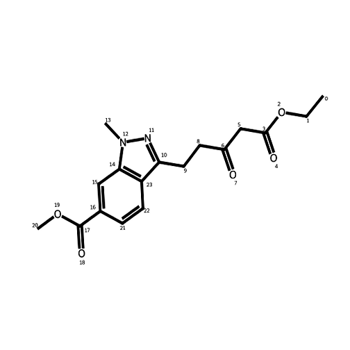 CCOC(=O)CC(=O)CCc1nn(C)c2cc(C(=O)OC)ccc12